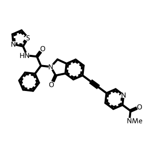 CNC(=O)c1ccc(C#Cc2ccc3c(c2)C(=O)N(C(C(=O)Nc2nccs2)c2ccccc2)C3)cn1